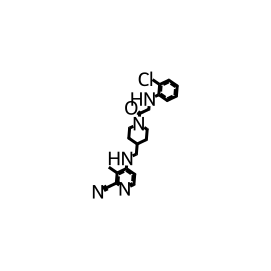 Cc1c(NCC2CCN(C(=O)CNc3ccccc3Cl)CC2)ccnc1C#N